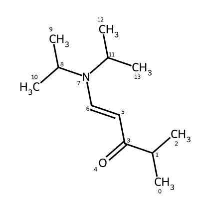 CC(C)C(=O)C=CN(C(C)C)C(C)C